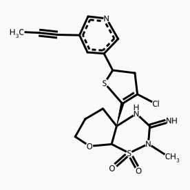 CC#Cc1cncc(C2CC(Cl)=C([C@]34CCCOC3S(=O)(=O)N(C)C(=N)N4)S2)c1